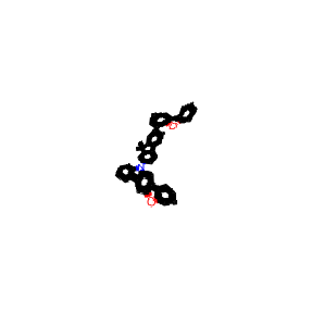 CC1(C)c2cc(-c3cccc4c3oc3ccccc34)ccc2-c2ccc(-n3c4ccccc4c4cc5oc6ccccc6c5cc43)cc21